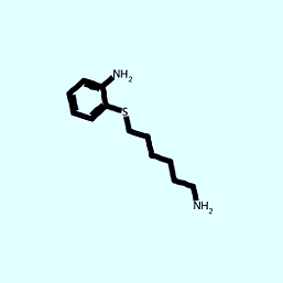 NCCCCCCSc1ccccc1N